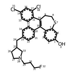 Oc1ccc2c(c1)SCCC(c1ccc(Cl)cc1Cl)=C2c1ccc(CC2CCN(CCCF)C2)cc1